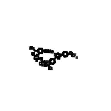 CCC(NNC(=O)/N=C1\SCC(=O)N1c1cc(OC)ccc1CC(C)C)c1ccc(-c2ncn(-c3ccc(OC(F)(F)F)cc3)n2)cc1